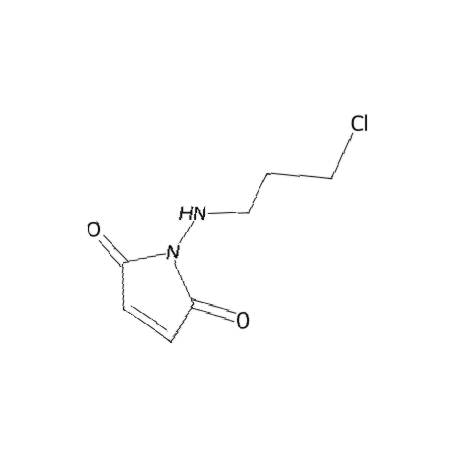 O=C1C=CC(=O)N1NCCCCl